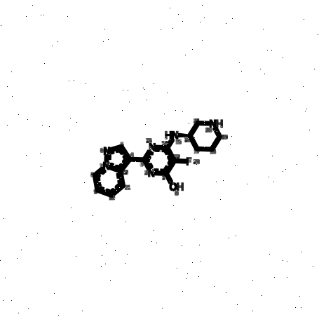 Oc1nc(-c2cnn3ccccc23)nc(N[C@@H]2CCCNC2)c1F